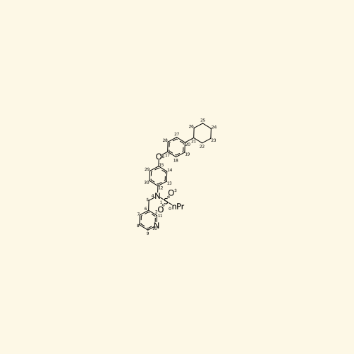 CCCS(=O)(=O)N(Cc1cccnc1)c1ccc(Oc2ccc(C3CCCCC3)cc2)cc1